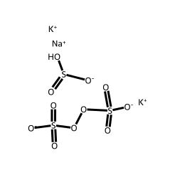 O=S(=O)([O-])OOS(=O)(=O)[O-].O=S([O-])O.[K+].[K+].[Na+]